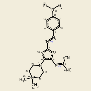 [C-]#[N+]/C(C#N)=C/c1sc(/N=N/c2ccc(N(CC)CC)cc2)nc1N1CC[N+](C)(C)CC1